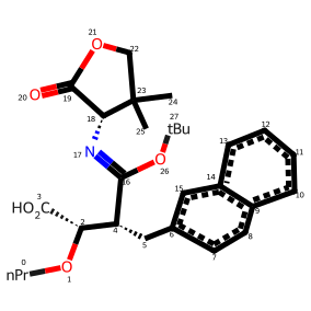 CCCO[C@H](C(=O)O)[C@@H](Cc1ccc2ccccc2c1)C(=N[C@@H]1C(=O)OCC1(C)C)OC(C)(C)C